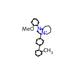 COc1ccccc1-n1cc(-c2ccc(-c3ccccc3C)cc2)[n+]2c1CCCCC2